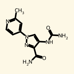 Cc1cc(-n2cc(NC(N)=O)c(C(N)=O)n2)ccn1